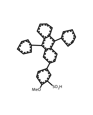 COc1ccc(-c2ccc3c(-c4ccccc4)c4ccccc4c(-c4ccccc4)c3c2)cc1S(=O)(=O)O